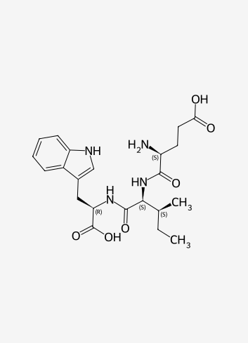 CC[C@H](C)[C@H](NC(=O)[C@@H](N)CCC(=O)O)C(=O)N[C@H](Cc1c[nH]c2ccccc12)C(=O)O